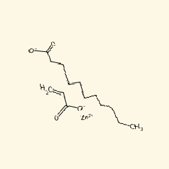 C=CC(=O)[O-].CCCCCCCCCCC(=O)[O-].[Zn+2]